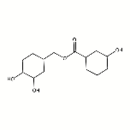 O=C(OCC1CCC(O)C(O)C1)C1CCCC(O)C1